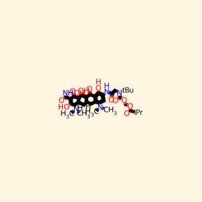 CC(C)C(=O)OCOC(=O)N(CC(=O)Nc1cc(N(C)C)c2c(c1O)C(=O)C1=C(O)[C@]3(O)C(=O)C(C(N)=O)=C(O)[C@@H](N(C)C)[C@@H]3C[C@@H]1C2)C(C)(C)C